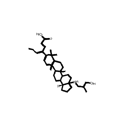 CC/C=C(\CCC(=O)O)C1=CCC2(C)C(CCC3(C)C4CCC5(NCC(C)CO)CCC[C@@H]5C4CCC32)C1(C)C